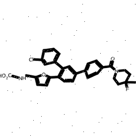 O=C(O)NCc1ccc(-c2ccc(-c3ccc(C(=O)N4CCC(F)(F)CC4)cc3)cc2-c2cccc(Cl)c2)o1